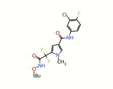 Cn1cc(C(=O)Nc2ccc(F)c(Cl)c2)cc1C(F)(F)C(=O)NOC(C)(C)C